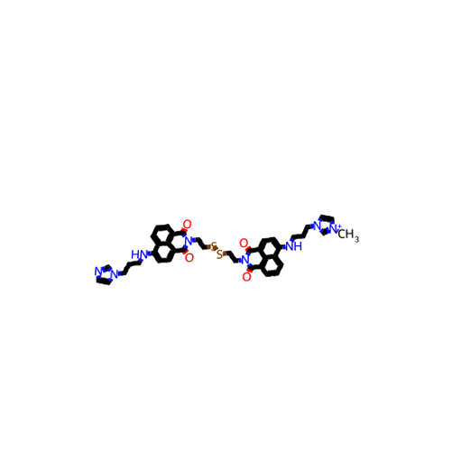 C[n+]1ccn(CCCNc2ccc3c4c(cccc24)C(=O)N(CCSSCCN2C(=O)c4cccc5c(NCCCn6ccnc6)ccc(c45)C2=O)C3=O)c1